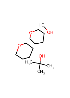 C1CCOCC1.C1CCOCC1.CC(C)(C)O.CO